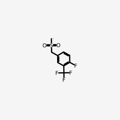 [CH2]S(=O)(=O)Cc1ccc(F)c(C(F)(F)F)c1